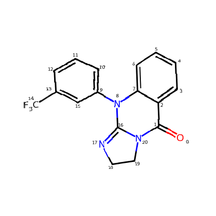 O=C1c2ccccc2N(c2cccc(C(F)(F)F)c2)C2=NCCN12